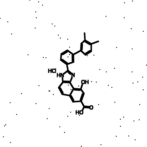 Cc1ccc(-c2cccc(-c3nc4c(ccc5cc(C(=O)O)cc(O)c54)[nH]3)c2)cc1C.Cl